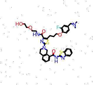 CN(C)Cc1ccc(OCCCc2sc(N3CCc4cccc(C(=O)Nc5nc6ccccc6s5)c4C3)nc2C(=O)NCCOCCO)c(F)c1